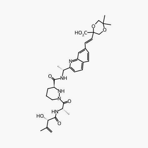 C=C(C)[C@H](O)C(=O)N[C@@H](C)C(=O)N1CCC[C@@H](C(=O)N[C@H](C)c2ccc3ccc(/C=C/C4(C(=O)O)COC(C)(C)CO4)cc3n2)N1